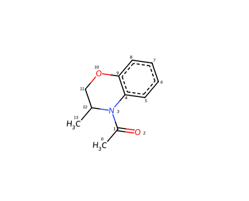 CC(=O)N1c2ccccc2OCC1C